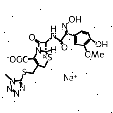 COc1cc(C(=NO)C(=O)NC2C(=O)N3C(C(=O)[O-])=C(CSc4nnnn4C)CS[C@@H]23)ccc1O.[Na+]